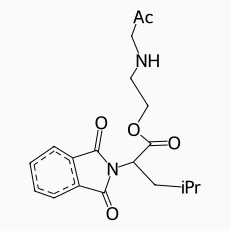 CC(=O)CNCCOC(=O)C(CC(C)C)N1C(=O)c2ccccc2C1=O